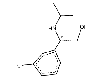 CC(C)N[C@H](CO)c1cccc(Cl)c1